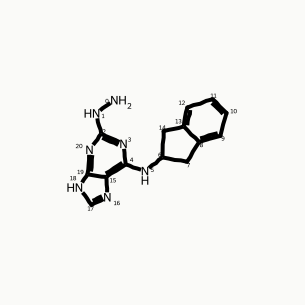 NNc1nc(NC2Cc3ccccc3C2)c2nc[nH]c2n1